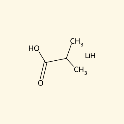 CC(C)C(=O)O.[LiH]